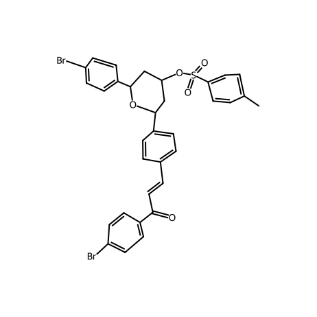 Cc1ccc(S(=O)(=O)OC2CC(c3ccc(Br)cc3)OC(c3ccc(/C=C/C(=O)c4ccc(Br)cc4)cc3)C2)cc1